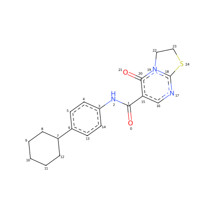 O=C(Nc1ccc(C2CCCCC2)cc1)c1cnc2n(c1=O)CCS2